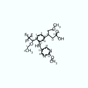 CCOC(c1ccc(C(COC)CC(=O)O)cc1Nc1cnc(OC)nc1)C(F)(F)F